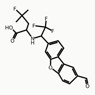 CC(C)(F)CC(NC(c1ccc2c(c1)oc1ccc(C=O)cc12)C(F)(F)F)C(=O)O